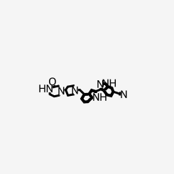 N#Cc1ccc2c(-c3cc4c(CN5CCC(N6CCCNC(=O)C6)CC5)cccc4[nH]3)n[nH]c2c1